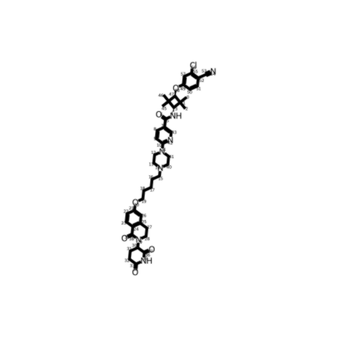 CC1(C)[C@H](NC(=O)c2ccc(N3CCN(CCCCCOc4ccc5c(c4)CCN(C4CCC(=O)NC4=O)C5=O)CC3)nc2)C(C)(C)[C@H]1Oc1ccc(C#N)c(Cl)c1